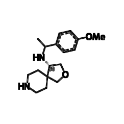 COc1ccc(C(C)N[C@@H]2COCC23CCNCC3)cc1